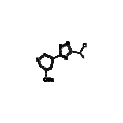 COc1cncc(-c2noc(C(C)Cl)n2)c1